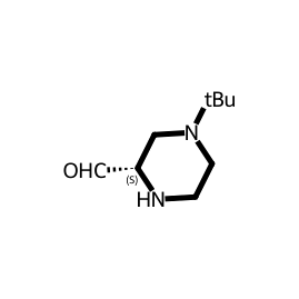 CC(C)(C)N1CCN[C@H](C=O)C1